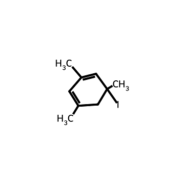 CC1=CC(C)(I)CC(C)=C1